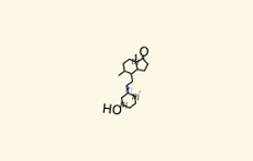 CC1CC[C@]2(C)C(=O)CCC2C1C/C=C1/C[C@@H](O)CC[C@H]1C